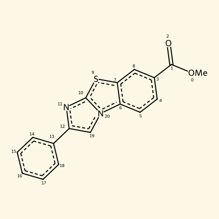 COC(=O)c1ccc2c(c1)sc1nc(-c3ccccc3)cn12